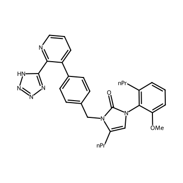 CCCc1cccc(OC)c1-n1cc(CCC)n(Cc2ccc(-c3cccnc3-c3nnn[nH]3)cc2)c1=O